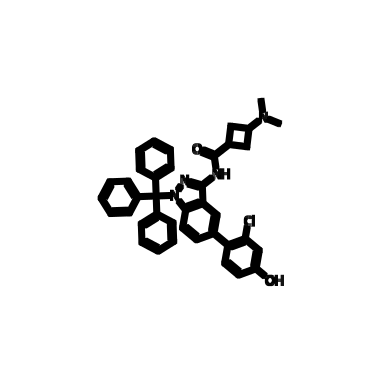 CN(C)C1CC(C(=O)Nc2nn(C(c3ccccc3)(c3ccccc3)c3ccccc3)c3ccc(-c4ccc(O)cc4Cl)cc23)C1